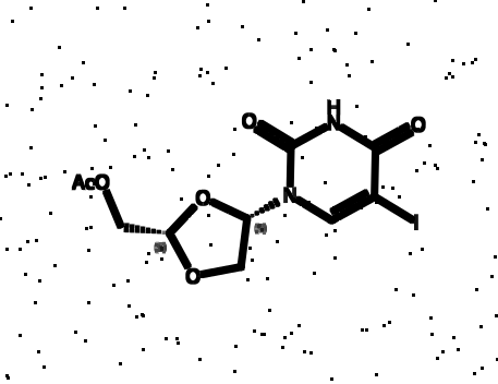 CC(=O)OC[C@H]1OC[C@@H](n2cc(I)c(=O)[nH]c2=O)O1